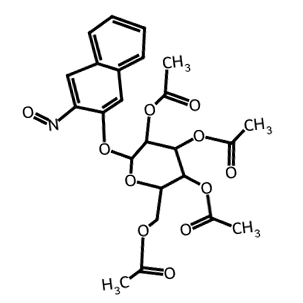 CC(=O)OCC1OC(Oc2cc3ccccc3cc2N=O)C(OC(C)=O)C(OC(C)=O)C1OC(C)=O